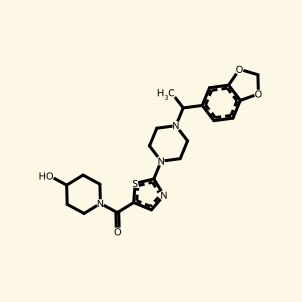 CC(c1ccc2c(c1)OCO2)N1CCN(c2ncc(C(=O)N3CCC(O)CC3)s2)CC1